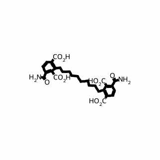 NC(=O)c1ccc(C(=O)O)c(CCCCCCCCCCc2c(C(=O)O)ccc(C(N)=O)c2C(=O)O)c1C(=O)O